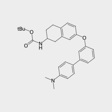 CN(C)c1ccc(-c2cccc(Oc3ccc4c(c3)CC(NC(=O)OC(C)(C)C)CC4)c2)cc1